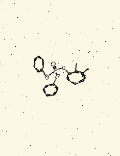 Cc1cccc(OP(=O)(Oc2ccccc2)Oc2ccccc2)c1C